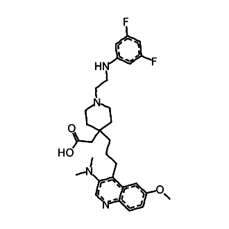 COc1ccc2ncc(N(C)C)c(CCCC3(CC(=O)O)CCN(CCNc4cc(F)cc(F)c4)CC3)c2c1